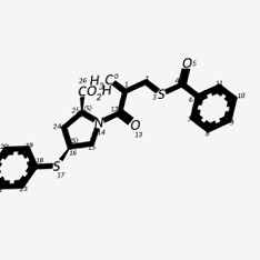 CC(CSC(=O)c1ccccc1)C(=O)N1C[C@@H](Sc2ccccc2)C[C@H]1C(=O)O